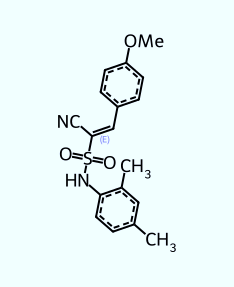 COc1ccc(/C=C(\C#N)S(=O)(=O)Nc2ccc(C)cc2C)cc1